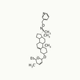 CC[C@H]1OC(OC2CC[C@@]3(C)C(=CCC4C3CC[C@@]3(C)C4CC[C@@H]3/C(C)=N/OCc3cccnc3)C2)C=C[C@@H]1C